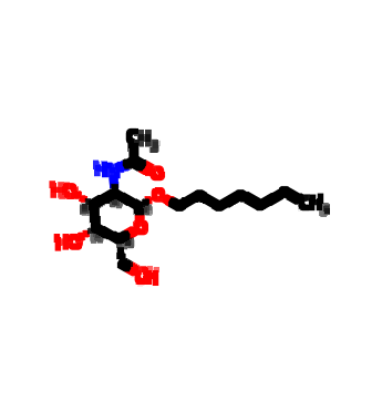 CCCCCCCO[C@@H]1O[C@H](CO)[C@H](O)[C@H](O)[C@H]1NC(C)=O